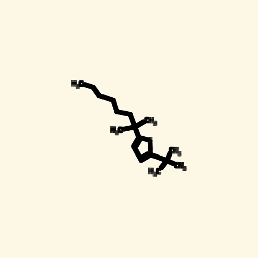 CCCCCCC(C)(C)c1ccc(C(C)(C)C)s1